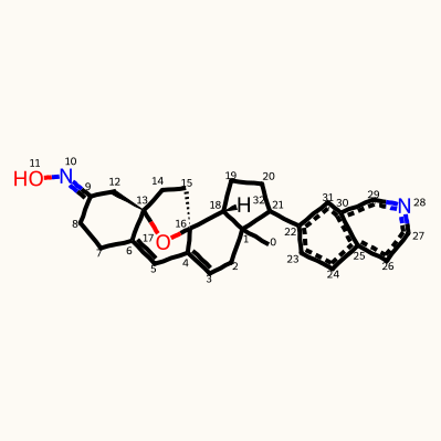 CC12CC=C3C=C4CC/C(=N\O)C[C@]45CC[C@]3(O5)[C@@H]1CCC2c1ccc2ccncc2c1